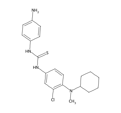 CN(c1ccc(NC(=S)Nc2ccc(N)cc2)cc1Cl)C1CCCCC1